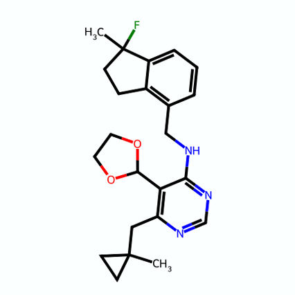 CC1(Cc2ncnc(NCc3cccc4c3CCC4(C)F)c2C2OCCO2)CC1